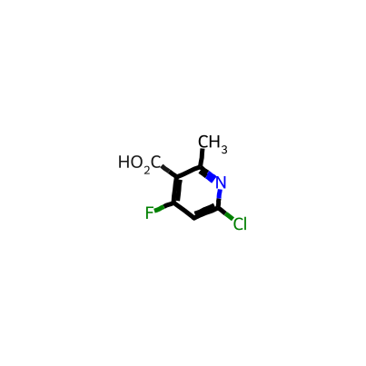 Cc1nc(Cl)cc(F)c1C(=O)O